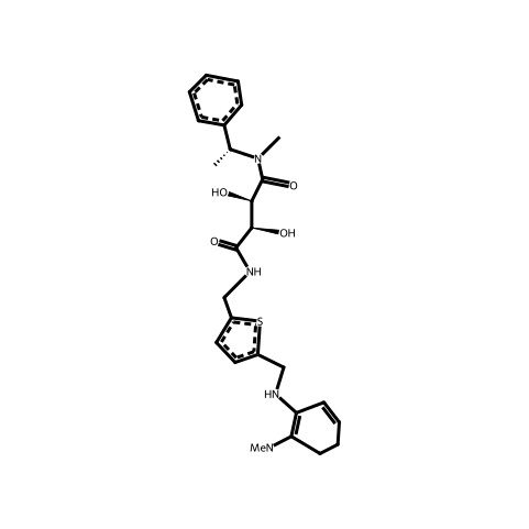 CNC1=C(NCc2ccc(CNC(=O)[C@H](O)[C@@H](O)C(=O)N(C)[C@H](C)c3ccccc3)s2)C=CCC1